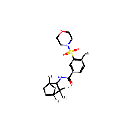 CCCc1ccc(C(=O)NC2C(C)(C)[C@@H]3CC[C@@]2(C)C3)cc1S(=O)(=O)N1CCOCC1